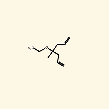 C=CCC(C)(CC=C)OC[SiH3]